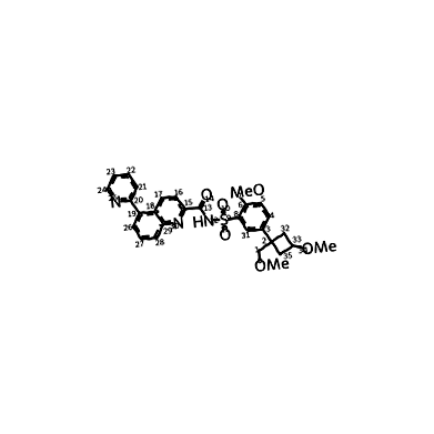 COCC1(c2ccc(OC)c(S(=O)(=O)NC(=O)c3ccc4c(-c5ccccn5)cccc4n3)c2)CC(OC)C1